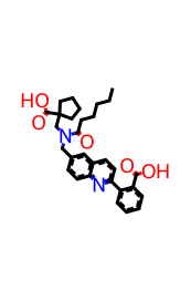 CCCCCC(=O)N(Cc1ccc2nc(-c3ccccc3C(=O)O)ccc2c1)CC1(C(=O)O)CCCC1